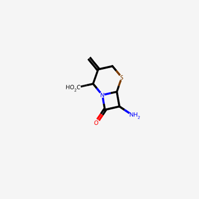 C=C1CSC2C(N)C(=O)N2C1C(=O)O